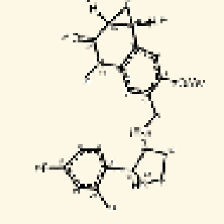 COc1cc2c(cc1CN[C@@H]1CCN[C@H]1c1ccc(F)cc1C)N(C)C(=O)[C@@H]1C[C@H]21